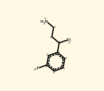 CCC(CCN)c1cccc(F)c1